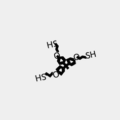 CC(c1ccc(OCCCS)cc1)(c1ccc(OCCCS)cc1)c1ccc(OCCCS)cc1